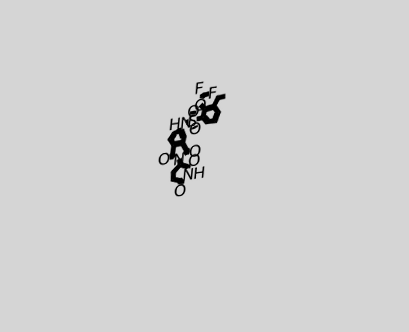 CCc1cccc(S(=O)(=O)Nc2ccc3c(c2)C(=O)N(C2CCC(=O)NC2=O)C3=O)c1OC(F)F